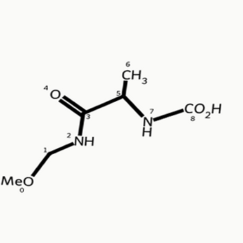 COCNC(=O)C(C)NC(=O)O